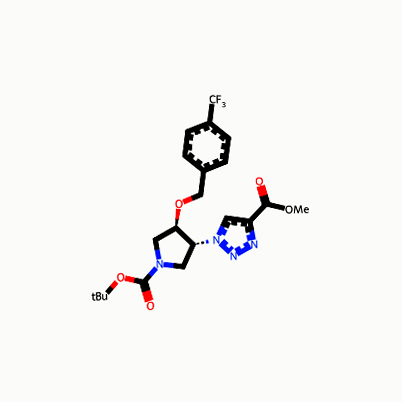 COC(=O)c1cn([C@@H]2CN(C(=O)OC(C)(C)C)C[C@H]2OCc2ccc(C(F)(F)F)cc2)nn1